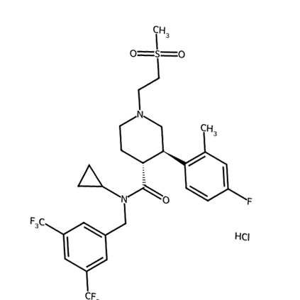 Cc1cc(F)ccc1[C@@H]1CN(CCS(C)(=O)=O)CC[C@H]1C(=O)N(Cc1cc(C(F)(F)F)cc(C(F)(F)F)c1)C1CC1.Cl